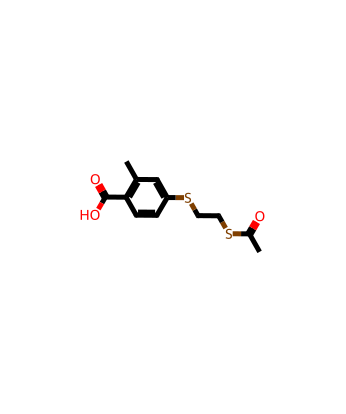 CC(=O)SCCSc1ccc(C(=O)O)c(C)c1